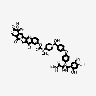 CCNC(=O)c1nnc(-c2cc(C(C)C)c(O)cc2O)n1-c1ccc(Oc2ccc(C(O)N3CCC(N(C)C(=O)Oc4ccc5nc6c(c(CC)c5c4)Cn4c-6cc5c(c4=O)COC(=O)C5(O)CC)CC3)cc2)cc1